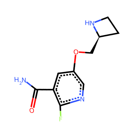 NC(=O)c1cc(OC[C@@H]2CCN2)cnc1F